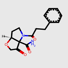 NC(=O)C12C(=O)CO[C@H]1CCN2C(=O)[CH]Cc1ccccc1